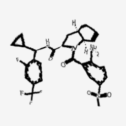 CS(=O)(=O)c1ccc(N)c(C(=O)N2[C@@H](C(=O)N[C@@H](c3ccc(C(F)(F)F)cc3F)C3CC3)C[C@H]3CC#C[C@H]32)c1